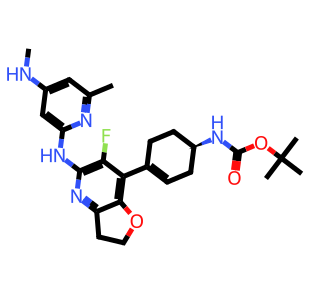 CNc1cc(C)nc(Nc2nc3c(c(C4=CC[C@H](NC(=O)OC(C)(C)C)CC4)c2F)OCC3)c1